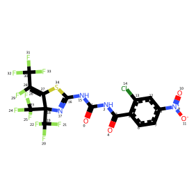 O=C(NC(=O)c1ccc([N+](=O)[O-])cc1Cl)NC1=NC(C(F)(F)F)(C(F)(F)F)C(=C(F)C(F)(F)F)S1